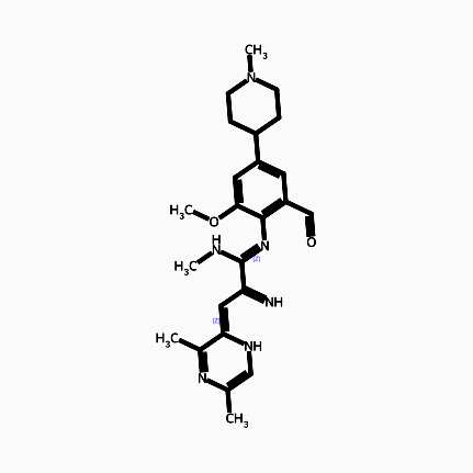 CN/C(=N\c1c(C=O)cc(C2CCN(C)CC2)cc1OC)C(=N)/C=C1\NC=C(C)N=C1C